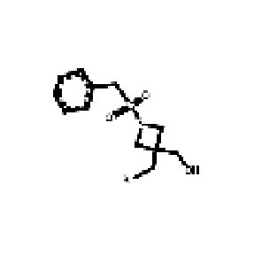 O=S(=O)(Cc1ccccc1)N1CC(CO)(CBr)C1